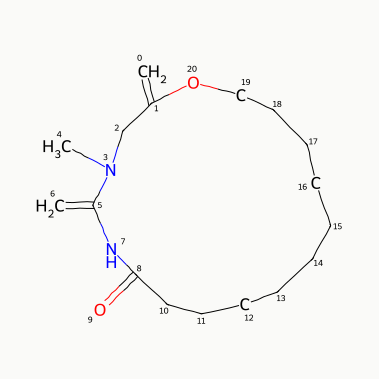 C=C1CN(C)C(=C)NC(=O)CCCCCCCCCCO1